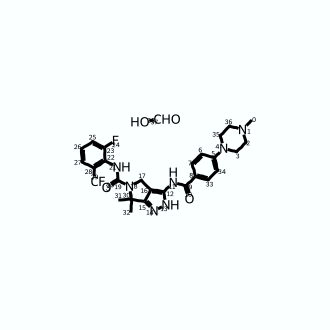 CN1CCN(c2ccc(C(=O)Nc3[nH]nc4c3CN(C(=O)Nc3c(F)cccc3C(F)(F)F)C4(C)C)cc2)CC1.O=CO